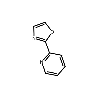 [c]1cccnc1-c1ncco1